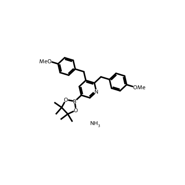 COc1ccc(Cc2cc(B3OC(C)(C)C(C)(C)O3)cnc2Cc2ccc(OC)cc2)cc1.N